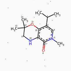 CC(C)c1cn(C)c(=O)c2c1OC(C)(C)CN2